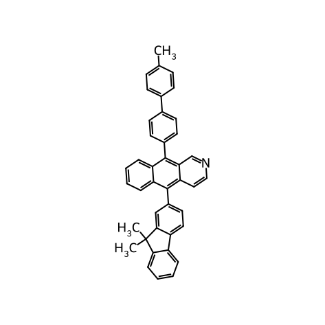 Cc1ccc(-c2ccc(-c3c4ccccc4c(-c4ccc5c(c4)C(C)(C)c4ccccc4-5)c4ccncc34)cc2)cc1